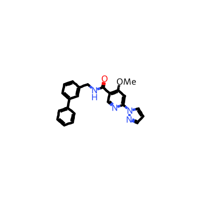 COc1cc(-n2cccn2)ncc1C(=O)NCc1cccc(-c2ccccc2)c1